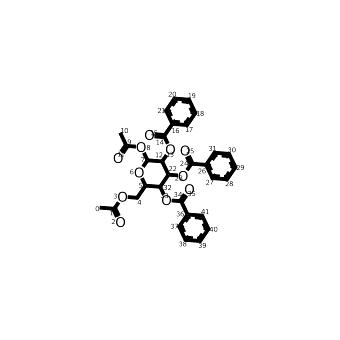 CC(=O)OCC1OC(OC(C)=O)C(OC(=O)c2ccccc2)C(OC(=O)c2ccccc2)C1OC(=O)c1ccccc1